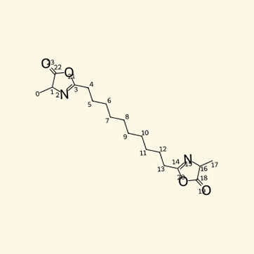 CC1N=C(CCCCCCCCCCC2=NC(C)C(=O)O2)OC1=O